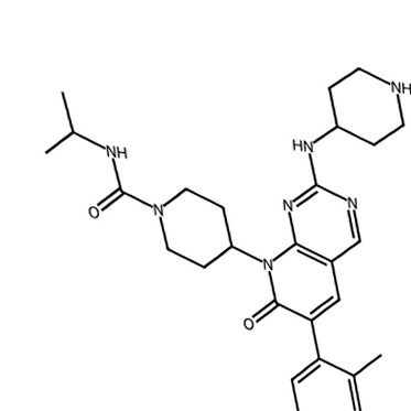 Cc1ccccc1-c1cc2cnc(NC3CCNCC3)nc2n(C2CCN(C(=O)NC(C)C)CC2)c1=O